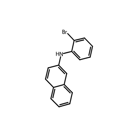 Brc1ccccc1Nc1ccc2ccccc2c1